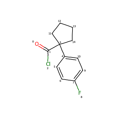 O=C(Cl)C1(c2ccc(F)cc2)CCCC1